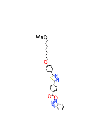 COCCCCCCCOc1ccc(-c2nnc(-c3ccc(C(=O)On4nnc5ccccc54)cc3)s2)cc1